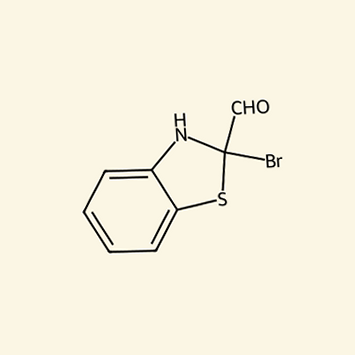 O=CC1(Br)Nc2ccccc2S1